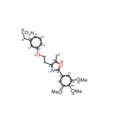 COc1cc(-c2nc(CCOc3cccc(CC(=O)O)c3)c(C)o2)cc(OC)c1OC